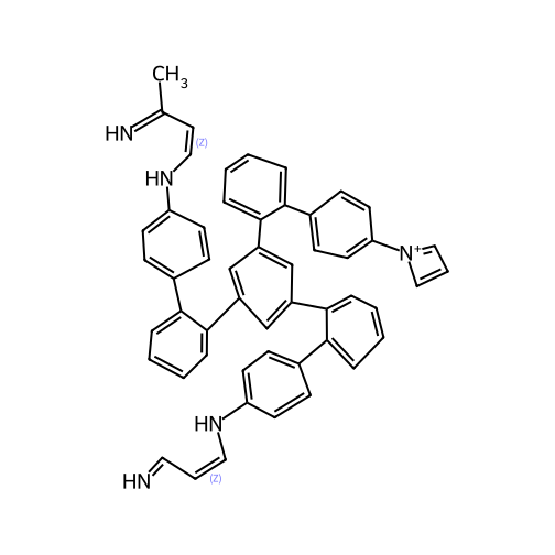 CC(=N)/C=C\Nc1ccc(-c2ccccc2-c2cc(-c3ccccc3-c3ccc(N/C=C\C=N)cc3)cc(-c3ccccc3-c3ccc([N+]4=CC=C4)cc3)c2)cc1